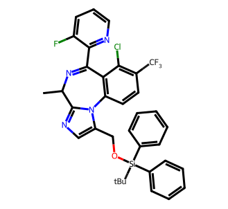 CC1N=C(c2ncccc2F)c2c(ccc(C(F)(F)F)c2Cl)-n2c(CO[Si](c3ccccc3)(c3ccccc3)C(C)(C)C)cnc21